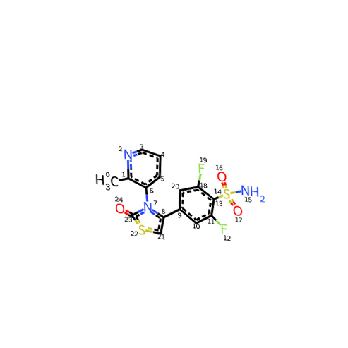 Cc1ncccc1-n1c(-c2cc(F)c(S(N)(=O)=O)c(F)c2)csc1=O